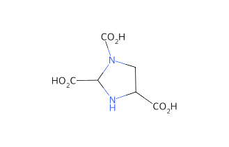 O=C(O)C1CN(C(=O)O)C(C(=O)O)N1